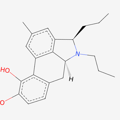 CCC[C@@H]1c2cc(C)cc3c2[C@H](Cc2ccc(O)c(O)c2-3)N1CCC